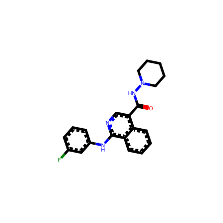 O=C(NN1CCCCC1)c1cnc(Nc2cccc(F)c2)c2ccccc12